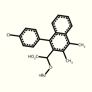 CCCCOC(C(=O)O)c1c(C)c(C)c2ccccc2c1-c1ccc(Cl)cc1